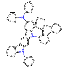 c1ccc(N(c2ccccc2)c2ccc3c(c2)c2cc4c5ccccc5n(-c5ccccc5)c4cc2n3-c2cccc3c4ccccc4c4ccccc4c23)cc1